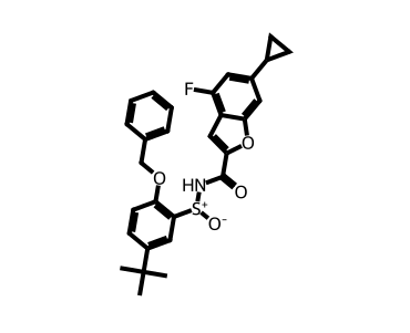 CC(C)(C)c1ccc(OCc2ccccc2)c([S+]([O-])NC(=O)c2cc3c(F)cc(C4CC4)cc3o2)c1